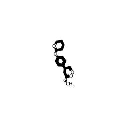 COC(=O)CC(C=O)c1ccc(OC2CCCCO2)cc1